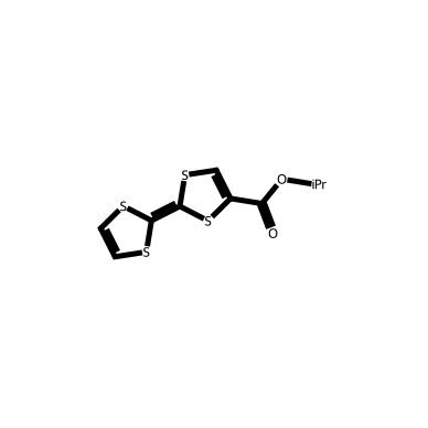 CC(C)OC(=O)C1=CSC(=C2SC=CS2)S1